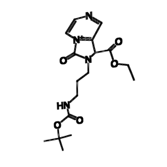 CCOC(=O)C1c2cncc[n+]2C(=O)N1CCCNC(=O)OC(C)(C)C